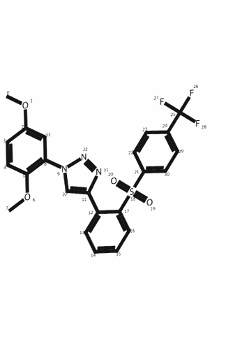 COc1ccc(OC)c(-n2cc(-c3ccccc3S(=O)(=O)c3ccc(C(F)(F)F)cc3)nn2)c1